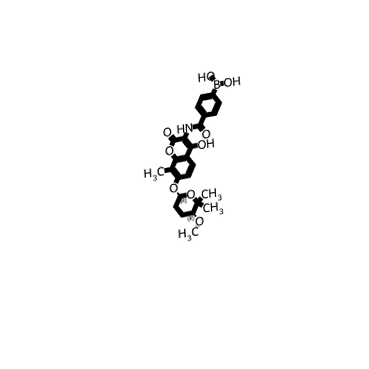 CO[C@@H]1CC[C@H](Oc2ccc3c(O)c(NC(=O)c4ccc(B(O)O)cc4)c(=O)oc3c2C)OC1(C)C